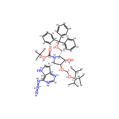 CC(C)[Si](OCO[C@@H]1[C@H](O)[C@@H](COC(c2ccccc2)(c2ccccc2)c2ccccc2)N(C(=O)OC(C)(C)C)[C@H]1c1c[nH]c2c(N=[N+]=[N-])ncnc12)(C(C)C)C(C)C